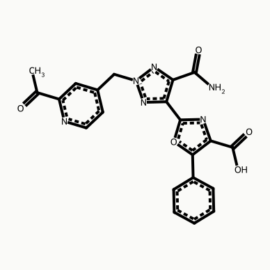 CC(=O)c1cc(Cn2nc(C(N)=O)c(-c3nc(C(=O)O)c(-c4ccccc4)o3)n2)ccn1